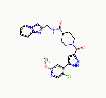 COc1cc(-c2cc(C(=O)N3CCC(C(=O)NCc4cn5ccccc5n4)CC3)n[nH]2)c(Cl)cn1